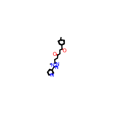 Cc1ccc(C(=O)CCC(=O)CCc2nnc(-c3cccnc3)n2C)cc1